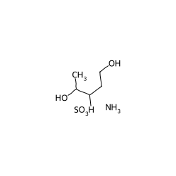 CC(O)C(CCO)S(=O)(=O)O.N